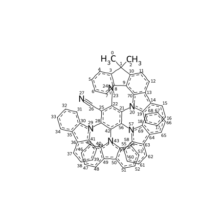 CC1(C)c2ccccc2-c2c1ccc1c3ccccc3n(-c3c(C#N)c(C#N)c(-n4c5ccccc5c5ccccc54)c(-n4c5ccccc5c5ccccc54)c3-n3c4ccccc4c4ccccc43)c21